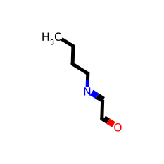 CCCCN=CC=O